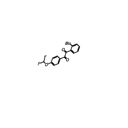 CCC(C)c1ccccc1C(=O)C(=O)c1ccc(OC(F)F)cc1